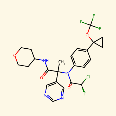 CC(C(=O)NC1CCOCC1)(c1cncnc1)N(C(=O)[C@H](F)Cl)c1ccc(C2(OC(F)(F)F)CC2)cc1